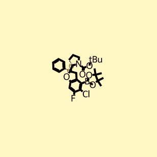 CC(C)(C)OC(=O)N1CCC[C@H]1[C@@]1(c2ccccc2)Cc2c(cc(F)c(Cl)c2B2OC(C)(C)C(C)(C)O2)O1